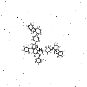 c1ccc(-c2cc(-c3ccc(-c4cccc5c4oc4ccccc45)cc3)nc3c2ccc2c(-c4ccccc4)cc(-c4ccc(-c5cccc6c5oc5ccccc56)cc4)nc23)cc1